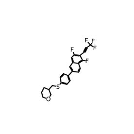 Fc1cc2cc(-c3ccc(SCC4CCCOC4)cc3)ccc2c(F)c1C#CC(F)(F)F